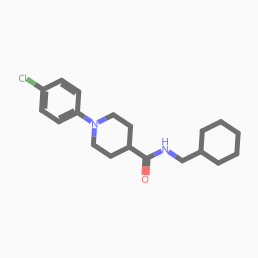 O=C(NCC1CCCCC1)C1CCN(c2ccc(Cl)cc2)CC1